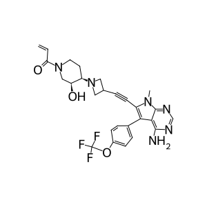 C=CC(=O)N1CC[C@@H](N2CC(C#Cc3c(-c4ccc(OC(F)(F)F)cc4)c4c(N)ncnc4n3C)C2)[C@@H](O)C1